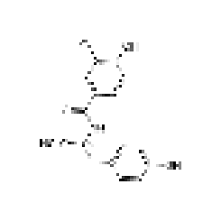 O=C(N[C@@H](Cc1ccc(O)cc1)C(=O)O)c1ccc(O)c(Cl)c1